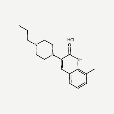 CCCN1CCN(c2cc3cccc(C)c3[nH]c2=O)CC1.Cl